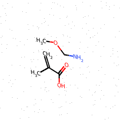 C=C(C)C(=O)O.COCN